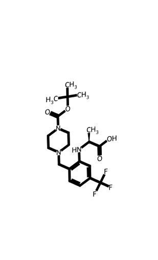 C[C@H](Nc1cc(C(F)(F)F)ccc1CN1CCN(C(=O)OC(C)(C)C)CC1)C(=O)O